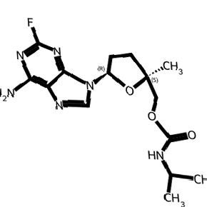 CC(C)NC(=O)OC[C@]1(C)CC[C@H](n2cnc3c(N)nc(F)nc32)O1